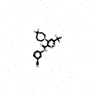 N#Cc1cccc(NC(=O)c2nnc(C(F)(F)F)cc2N2CCCC(F)(F)CC2)c1